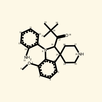 COc1cccc2c1N(c1ccccc1N)C(C(=O)C(C)(C)C)C21CCNCC1